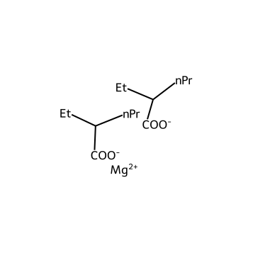 CCCC(CC)C(=O)[O-].CCCC(CC)C(=O)[O-].[Mg+2]